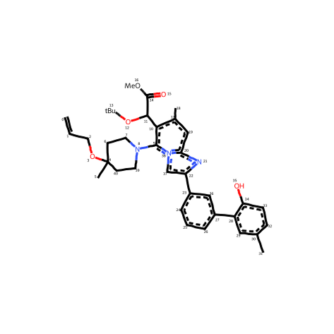 C=CCOC1(C)CCN(c2c(C(OC(C)(C)C)C(=O)OC)c(C)cc3nc(-c4cccc(-c5cc(C)ccc5O)c4)cn23)CC1